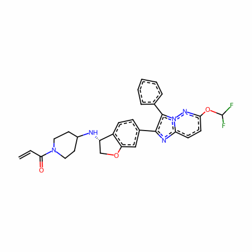 C=CC(=O)N1CCC(N[C@H]2COc3cc(-c4nc5ccc(OC(F)F)nn5c4-c4ccccc4)ccc32)CC1